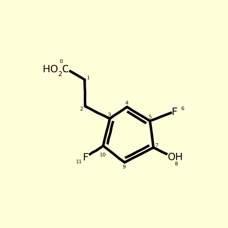 O=C(O)CCc1cc(F)c(O)cc1F